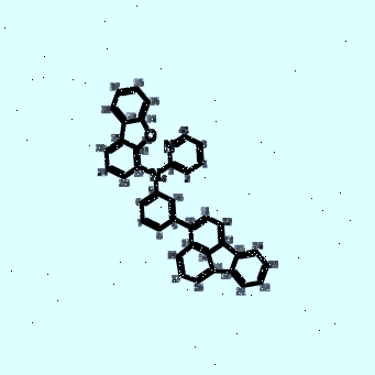 c1ccc(N(c2cccc(-c3ccc4c5c(cccc35)-c3ccccc3-4)c2)c2cccc3c2oc2ccccc23)nc1